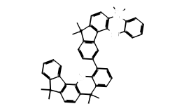 CC1(C)c2cccc(-c3ccc4c(c3)-c3c(ccc5c3Oc3ccccc3[Si]5(C)C)C4(C)C)c2Sc2c1ccc1c2-c2ccccc2C1(C)C